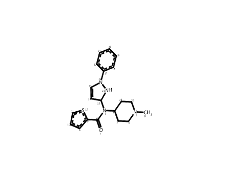 CN1CCC(N(C(=O)c2cccs2)C2C=CN(c3ccccc3)N2)CC1